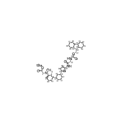 CN(CC(=O)OC(C)(C)C)c1cc(-c2cccc(-c3csc(NC(=O)CNC(=O)OCC4c5ccccc5-c5ccccc54)n3)c2)ccn1